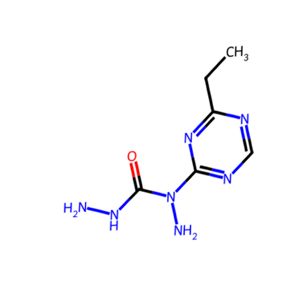 CCc1ncnc(N(N)C(=O)NN)n1